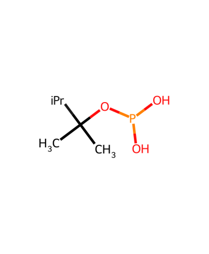 CC(C)C(C)(C)OP(O)O